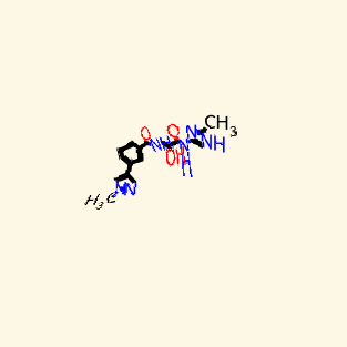 Cc1nc(NC(=O)[C@@H](O)CNC(=O)c2cccc(-c3cnn(C)c3)c2)c[nH]1